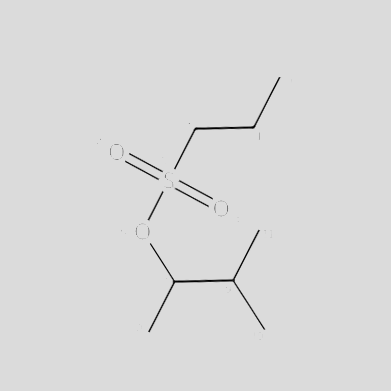 CCCS(=O)(=O)OC(C)C(C)C